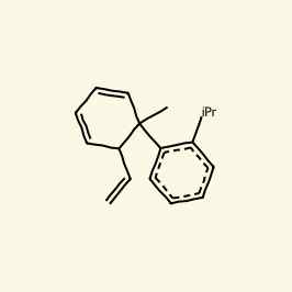 C=CC1C=CC=CC1(C)c1ccccc1C(C)C